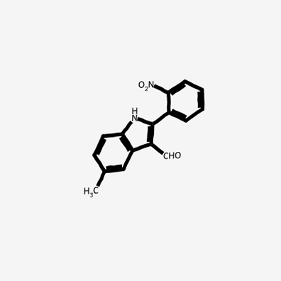 Cc1ccc2[nH]c(-c3ccccc3[N+](=O)[O-])c(C=O)c2c1